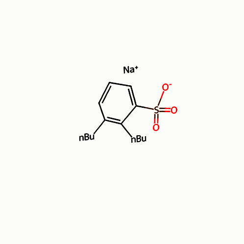 CCCCc1cccc(S(=O)(=O)[O-])c1CCCC.[Na+]